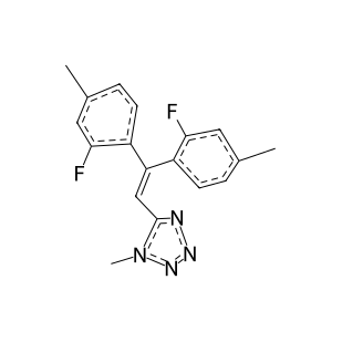 Cc1ccc(C(=Cc2nnnn2C)c2ccc(C)cc2F)c(F)c1